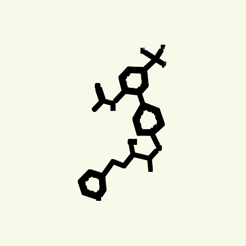 CC(=O)Nc1ccc(C(F)(F)F)cc1-c1ccc(OC(C)C(O)CCc2cccnc2)cc1